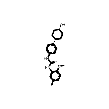 COc1ccc(C)cc1NC(=O)Nc1ccc([C@H]2CC[C@@H](O)CC2)cc1